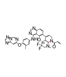 C=CC(=O)N1CC=C(c2ccc3ncnc(Nc4ccc(Oc5cc6ncnn6cn5)c(C)c4)c3c2O[C@@H]2CCN(C)CC2(F)F)CC1